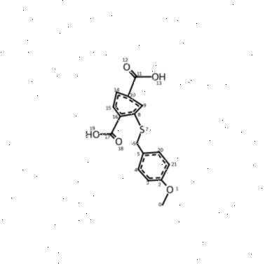 COc1ccc(CSc2cc(C(=O)O)ccc2C(=O)O)cc1